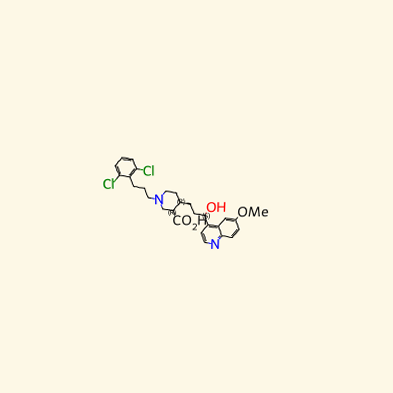 COc1ccc2nccc([C@@H](O)CC[C@@H]3CCN(CCCc4c(Cl)cccc4Cl)C[C@@H]3C(=O)O)c2c1